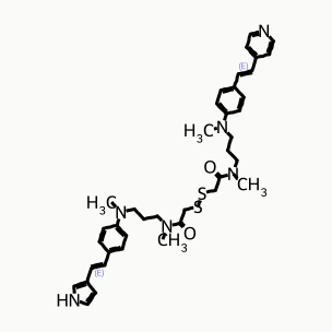 CN(CCCN(C)c1ccc(/C=C/c2ccncc2)cc1)C(=O)CSSCC(=O)N(C)CCCN(C)c1ccc(/C=C/c2cc[nH]c2)cc1